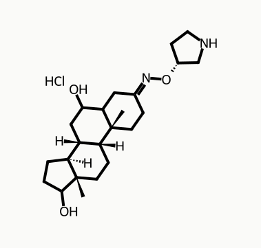 C[C@]12CCC(=NO[C@@H]3CCNC3)CC1C(O)C[C@@H]1[C@H]2CC[C@]2(C)C(O)CC[C@@H]12.Cl